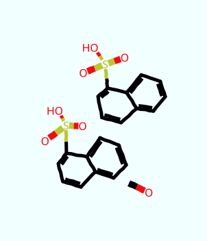 C=O.O=S(=O)(O)c1cccc2ccccc12.O=S(=O)(O)c1cccc2ccccc12